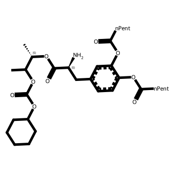 CCCCCC(=O)Oc1ccc(C[C@H](N)C(=O)O[C@@H](C)C(C)OC(=O)OC2CCCCC2)cc1OC(=O)CCCCC